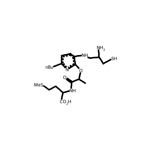 CCCCc1ccc(NCC(N)CS)c(OC(C)C(=O)NC(CCSC)C(=O)O)n1